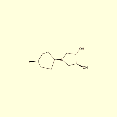 C[C@H]1CC[C@@H](N2C[C@H](O)[C@@H](O)C2)CC1